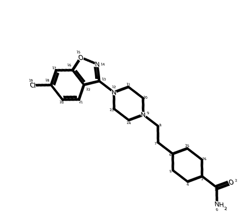 NC(=O)C1CCC(CCN2CCN(c3noc4cc(Cl)ccc34)CC2)CC1